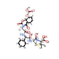 COC(=O)Oc1cccc2c(=O)n([C@@H](C)C(=O)N[C@@H](C(=O)N[C@@H]3C(=O)N4C3SC(C)(C)C4C(=O)O)c3ccccc3)c(=O)oc12